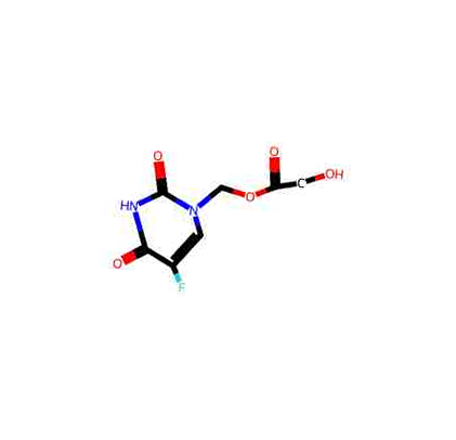 O=C(CO)OCn1cc(F)c(=O)[nH]c1=O